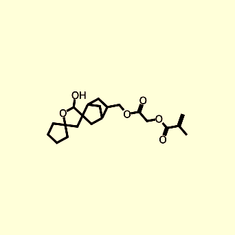 C=C(C)C(=O)OCC(=O)OCC1CC2CC1CC21CC2(CCCC2)OC1O